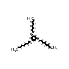 CCCCCCCCSc1cc(SCCCCCCCC)cc(SCCCCCCCC)c1